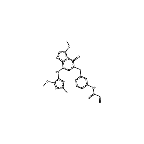 C=CC(=O)Nc1cccc(Cn2cc(Nc3cn(C)nc3OC)c3ncc(OC)n3c2=O)c1